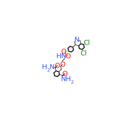 CN1Cc2c(Cl)cc(Cl)cc2C(c2ccc(S(=O)(=O)NCCOCCc3c(C(N)=O)cccc3C(N)=O)cc2)C1